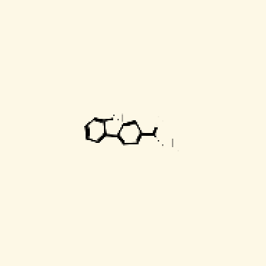 NC(=O)c1ccc2c(c1)[nH]c1ccccc12